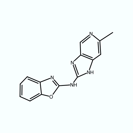 Cc1cc2[nH]c(Nc3nc4ccccc4o3)nc2cn1